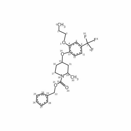 CCCOc1cc(C(F)(F)F)ccc1OC1CCN(C(=O)OCc2ccccc2)C(C)C1